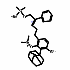 C[SiH](C)Oc1c(CC/C=C(/CO[Si](C)(C)C(C)(C)C)c2ccccc2)ccc(C(C)(C)C)c1C12CC3CC(CC(C3)C1)C2